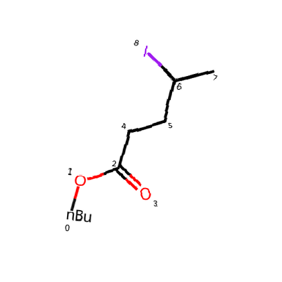 CCCCOC(=O)CCC(C)I